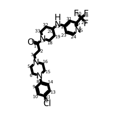 O=C(CCN1CCN(c2ccc(Cl)cc2)CC1)N1CCC(Nc2ccnc(C(F)(F)F)c2)CC1